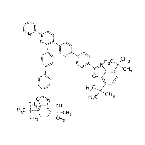 CC(C)(C)c1ccc(C(C)(C)C)c2oc(-c3ccc(-c4ccc(-c5ccc(-c6ccccn6)nc5-c5ccc(-c6ccc(-c7nc8c(C(C)(C)C)ccc(C(C)(C)C)c8o7)cc6)cc5)cc4)cc3)nc12